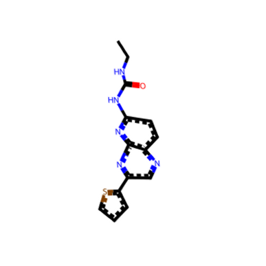 CCNC(=O)Nc1ccc2ncc(-c3cccs3)nc2n1